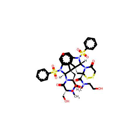 CN(CCO)C(=O)[C@@]12C[C@]3([C@]45C[C@@]67SS[C@@](CO)(C(=O)N6[C@H]4N(S(=O)(=O)c4ccccc4)c4ccccc45)N(C)C7=O)c4ccccc4N(S(=O)(=O)c4ccccc4)[C@@H]3N1C(=O)CSS2